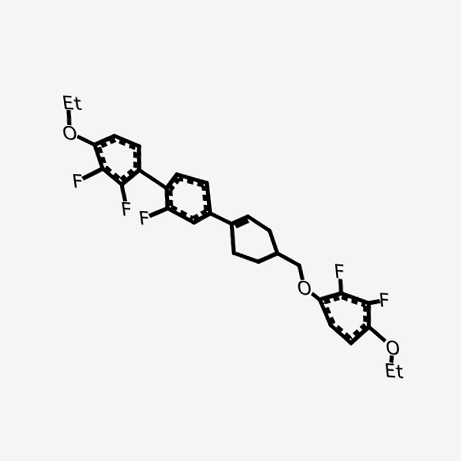 CCOc1ccc(OCC2CC=C(c3ccc(-c4ccc(OCC)c(F)c4F)c(F)c3)CC2)c(F)c1F